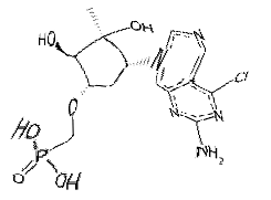 C[C@@]1(O)[C@H](O)[C@@H](OCP(=O)(O)O)C[C@H]1n1cnc2c(Cl)nc(N)nc21